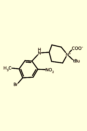 Cc1cc(NC2CC[N+](C(=O)[O-])(C(C)(C)C)CC2)c([N+](=O)[O-])cc1Br